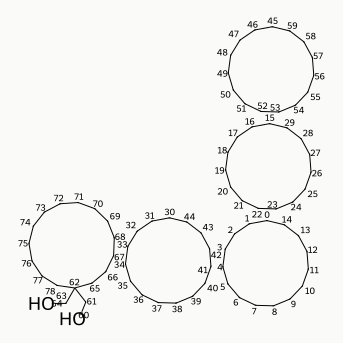 C1CCCCCCCCCCCCCC1.C1CCCCCCCCCCCCCC1.C1CCCCCCCCCCCCCC1.C1CCCCCCCCCCCCCC1.OCC1(CO)CCCCCCCCCCCCCC1